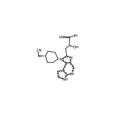 CC(C)C(=N)N(O)Cc1nc2cnc3[nH]ccc3c2n1[C@H]1CC[C@H](CC#N)CC1